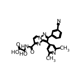 Cc1cc(-c2c(-c3cccc(C#N)c3)nn3ccc(C(=O)N[C@@H](O)C(=O)O)nc23)cc(C)n1